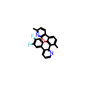 Cc1ccc2c(n1)oc1c(-c3ncccc3-c3ccc(F)c(F)c3)c(C)ccc12